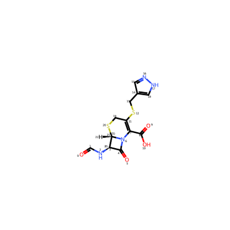 O=CN[C@@H]1C(=O)N2C(C(=O)O)=C(SCc3cn[nH]c3)CS[C@@H]12